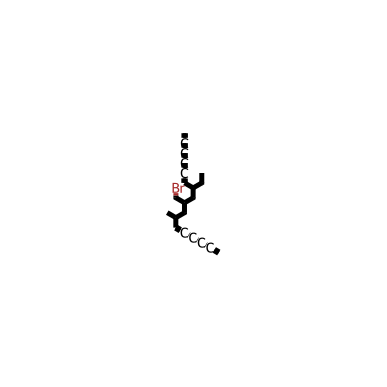 C=C=C=C=C=CC(C)CC(CBr)CC(C=C=C=C=C=C)CC